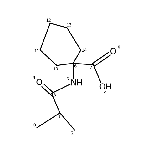 CC(C)C(=O)NC1(C(=O)O)CCCCC1